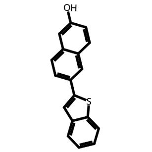 Oc1ccc2cc(-c3cc4ccccc4s3)ccc2c1